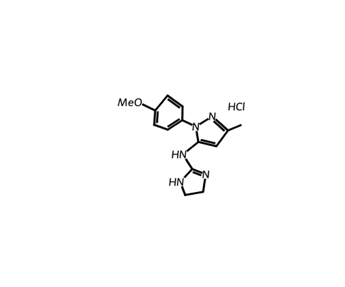 COc1ccc(-n2nc(C)cc2NC2=NCCN2)cc1.Cl